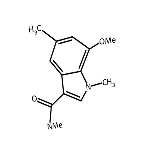 CNC(=O)c1cn(C)c2c(OC)cc(C)cc12